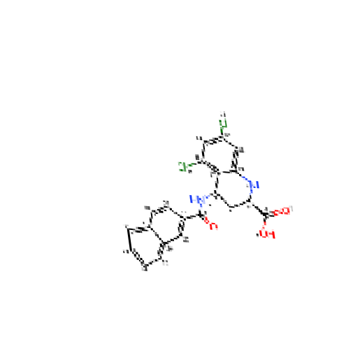 O=C(N[C@H]1C[C@H](C(=O)O)Nc2cc(Cl)cc(Cl)c21)c1ccc2ccccc2c1